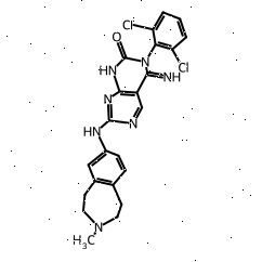 CN1CCc2ccc(Nc3ncc4c(=N)n(-c5c(Cl)cccc5Cl)c(=O)[nH]c4n3)cc2CC1